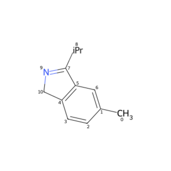 Cc1ccc2c(c1)C(C(C)C)=NC2